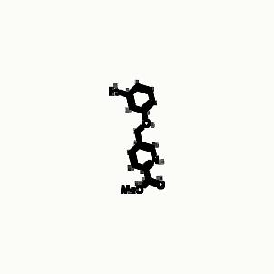 CCc1cccc(OCc2ccc(C(=O)OC)nc2)c1